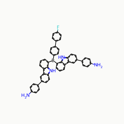 Nc1ccc(-c2ccc3[nH]c4c(B(c5ccc(-c6ccc(F)cc6)cc5)c5cccc6c5[nH]c5ccc(-c7ccc(N)cc7)cc56)cccc4c3c2)cc1